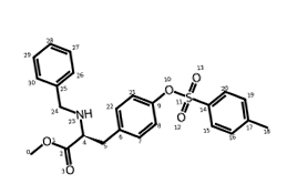 COC(=O)[C@H](Cc1ccc(OS(=O)(=O)c2ccc(C)cc2)cc1)NCc1ccccc1